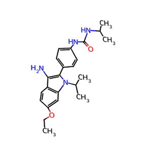 CCOc1ccc2c(N)c(-c3ccc(NC(=O)NC(C)C)cc3)n(C(C)C)c2c1